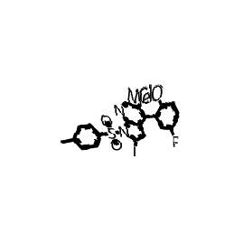 COc1ccc(F)cc1-c1c(Cl)cnc2c1cc(I)n2S(=O)(=O)c1ccc(C)cc1